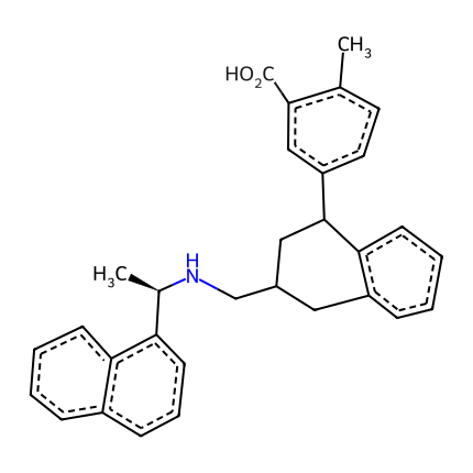 Cc1ccc(C2CC(CN[C@H](C)c3cccc4ccccc34)Cc3ccccc32)cc1C(=O)O